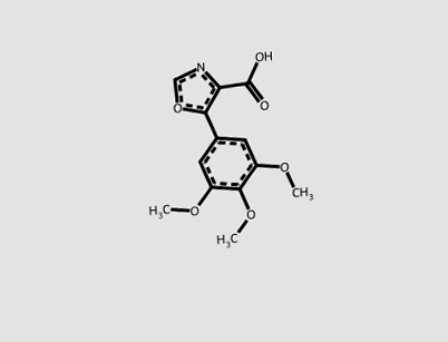 COc1cc(-c2ocnc2C(=O)O)cc(OC)c1OC